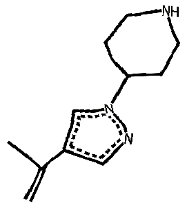 C=C(C)c1cnn(C2CCNCC2)c1